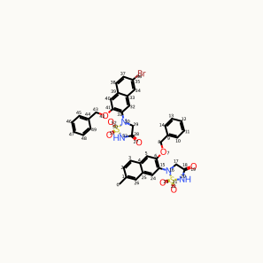 Cc1ccc2cc(OCc3ccccc3)c(N3CC(=O)NS3(=O)=O)cc2c1.O=C1CN(c2cc3cc(Br)ccc3cc2OCc2ccccc2)S(=O)(=O)N1